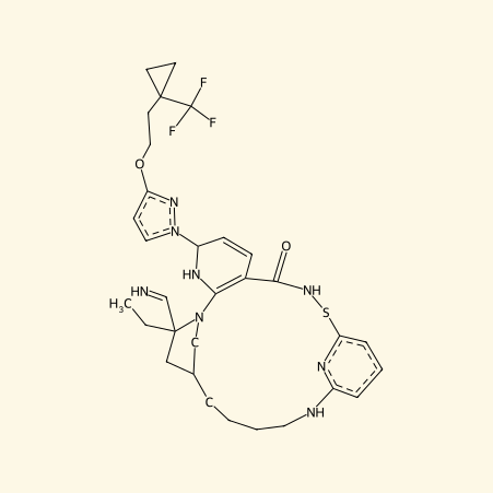 CCC1(C=N)CC2CCCCNc3cccc(n3)SNC(=O)C3=C(NC(n4ccc(OCCC5(C(F)(F)F)CC5)n4)C=C3)N1C2